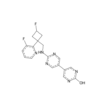 Oc1ncc(-c2cnc(NCC3(c4ncccc4F)CC(F)C3)nc2)cn1